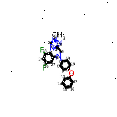 Cn1cnc(CN(c2ccc(Oc3ccccc3)cc2)c2cc(F)cc(F)c2)n1